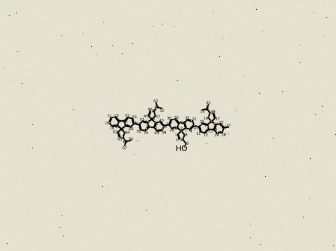 C=CC1(CCCO)c2cc(-c3ccc4c(c3)C(C=C)(CCC(C)C)c3cc(C)ccc3-4)ccc2-c2ccc(-c3ccc4c(c3)C(C=C)(CCC(C)C)c3cc(-c5ccc6c(c5)C(C=C)(CCC(C)C)c5ccccc5-6)ccc3-4)cc21